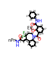 CCCNC(=O)C=C1c2ccccc2N(C(=O)c2cccc(C(=O)Nc3ccccc3)c2OCC)CCC1(F)F